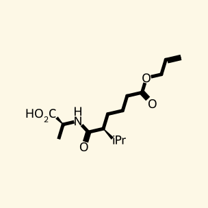 C=CCOC(=O)CCC[C@H](C(=O)N[C@@H](C)C(=O)O)C(C)C